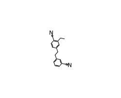 CCc1cc(CCc2cccc(C#N)c2)ccc1C#N